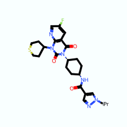 CC(C)n1cc(C(=O)N[C@H]2CC[C@@H](n3c(=O)c4cc(F)cnc4n(C4CCSCC4)c3=O)CC2)cn1